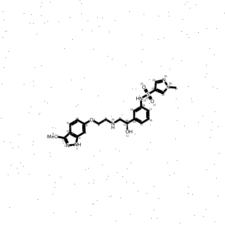 COc1n[nH]c2cc(OCCNC[C@H](O)c3cccc(NS(=O)(=O)c4cnn(C)c4)c3)ccc12